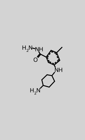 Cc1cc(NC2CCC(N)CC2)cc(C(=O)NN)c1